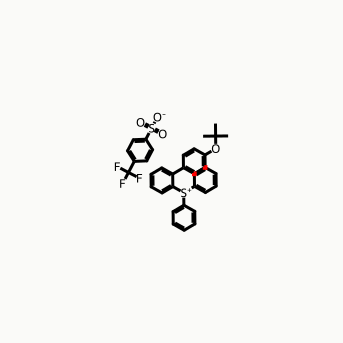 CC(C)(C)Oc1ccc(-c2ccccc2[S+](c2ccccc2)c2ccccc2)cc1.O=S(=O)([O-])c1ccc(C(F)(F)F)cc1